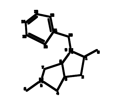 CC1CC2CN(C)CC2N1Cc1ccccc1